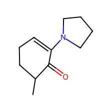 CC1CCC=C(N2CCCC2)C1=O